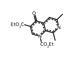 CCOC(=O)c1cn(C(=O)OCC)c2c(C)nc(C)cc2c1=O